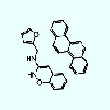 C1=C(NCc2ccco2)NOc2ccccc21.c1ccc2c(c1)ccc1c3ccccc3ccc21